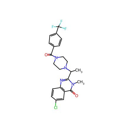 CC(c1nc2ccc(Cl)cc2c(=O)n1C)N1CCN(C(=O)c2ccc(C(F)(F)F)cc2)CC1